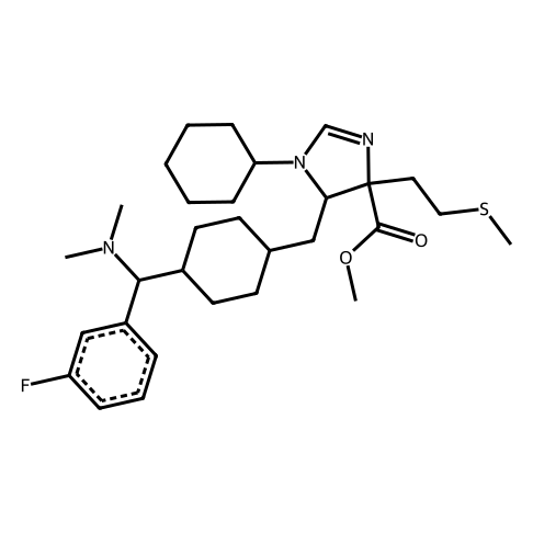 COC(=O)C1(CCSC)N=CN(C2CCCCC2)C1CC1CCC(C(c2cccc(F)c2)N(C)C)CC1